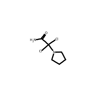 NC(=O)C(Cl)(Cl)N1CCCC1